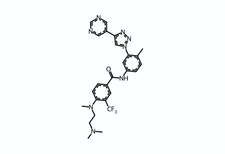 Cc1ccc(NC(=O)c2ccc(N(C)CCN(C)C)c(C(F)(F)F)c2)cc1-n1cc(-c2cncnc2)nn1